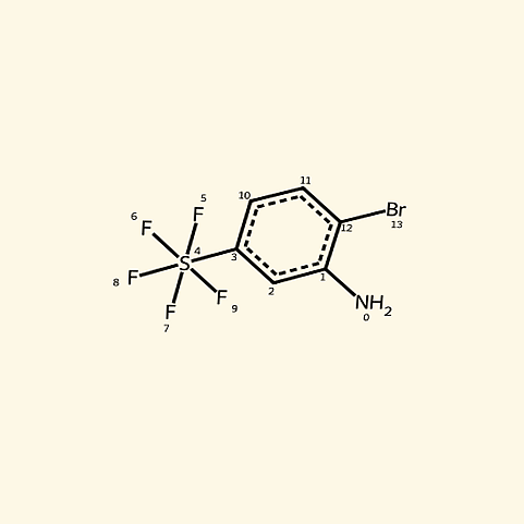 Nc1cc(S(F)(F)(F)(F)F)ccc1Br